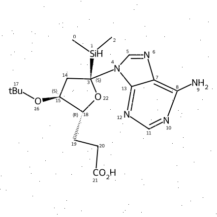 C[SiH](C)[C@]1(n2cnc3c(N)ncnc32)C[C@H](OC(C)(C)C)[C@@H](CCC(=O)O)O1